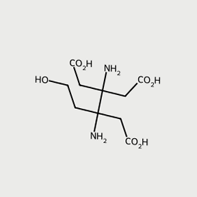 NC(CCO)(CC(=O)O)C(N)(CC(=O)O)CC(=O)O